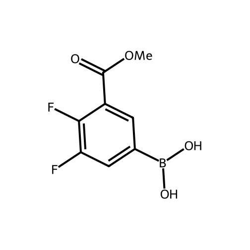 COC(=O)c1cc(B(O)O)cc(F)c1F